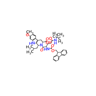 COc1ccc2c3c([nH]c2c1)[C@H](CC(C)C)N(C(=O)C(CCC(=O)NC(C)(C)C)NC(=O)OCC1c2ccccc2-c2ccccc21)C(C(=O)O)C3